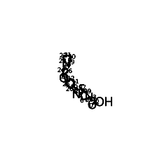 O=C(O)CN1CCc2nc(-c3ccc(O[C@H]4C[C@H](N5CCCCC5)C4)cc3)sc2C1